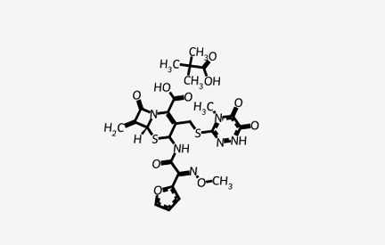 C=C1C(=O)N2C(C(=O)O)=C(CSc3n[nH]c(=O)c(=O)n3C)C(NC(=O)C(=NOC)c3ccco3)S[C@H]12.CC(C)(C)C(=O)O